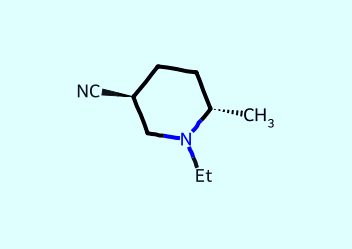 CCN1C[C@@H](C#N)CC[C@@H]1C